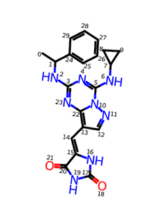 CC(Nc1nc(NC2CC2)n2ncc(/C=C3\NC(=O)NC3=O)c2n1)c1ccccc1